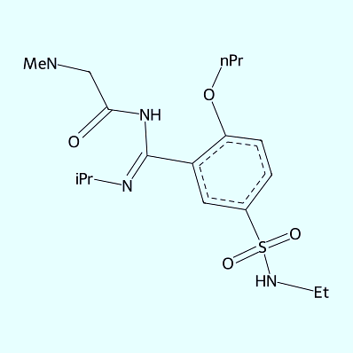 CCCOc1ccc(S(=O)(=O)NCC)cc1/C(=N/C(C)C)NC(=O)CNC